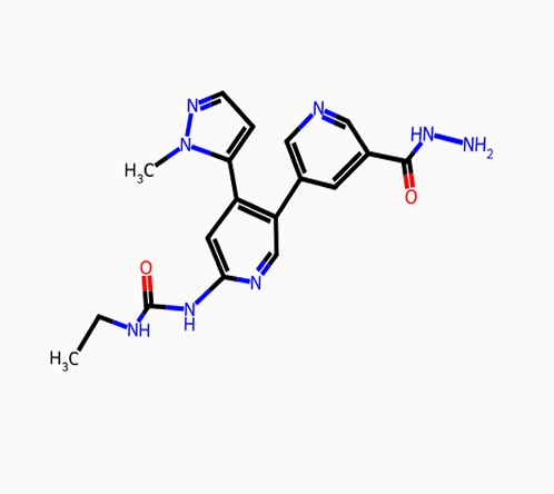 CCNC(=O)Nc1cc(-c2ccnn2C)c(-c2cncc(C(=O)NN)c2)cn1